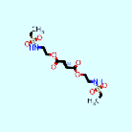 CCS(=O)(=O)NCCOC(=O)/C=C/C(=O)OCCNS(=O)(=O)CC